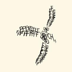 CC(COS(=O)(=O)CCC(F)(F)C(F)(F)C(F)(F)C(F)(F)C(F)(F)C(F)(F)C(F)(F)C(F)(F)F)(COS(=O)(=O)CCC(F)(F)C(F)(F)C(F)(F)C(F)(F)C(F)(F)C(F)(F)C(F)(F)C(F)(F)F)COS(=O)(=O)CCC(F)(F)C(F)(F)C(F)(F)C(F)(F)C(F)(F)C(F)(F)C(F)(F)C(F)(F)F